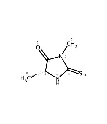 C[C@H]1NC(=S)N(C)C1=O